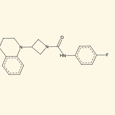 O=C(Nc1ccc(F)cc1)N1CC(N2CCCc3ccccc32)C1